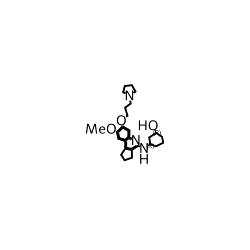 COc1cc2c3c(c(N[C@@H]4CCC[C@@H](O)C4)nc2cc1OCCCN1CCCC1)CCC3